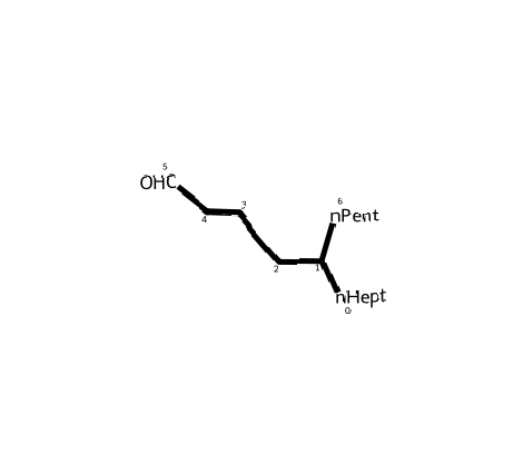 CCCCCCCC(CCCC=O)CCCCC